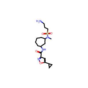 CN(C1CCCCC(NC(=O)c2cc(C3CC3)on2)C1)S(=O)(=O)CCCN